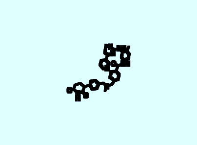 Cc1ccc(NC(=O)c2ccc(CN(C)Cc3ccc(C4CCC(=O)NC4=O)cc3)cc2)cc1Nc1nccc(-c2cccnc2)n1